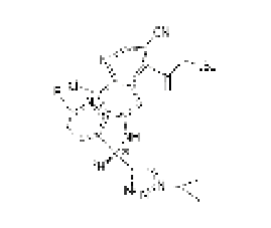 [2H][C@](Nc1cc(Cl)c2ncc(C#N)c(NCC(C)(C)C)c2c1)(c1ccc(F)nc1)c1cn(C2CC2)nn1